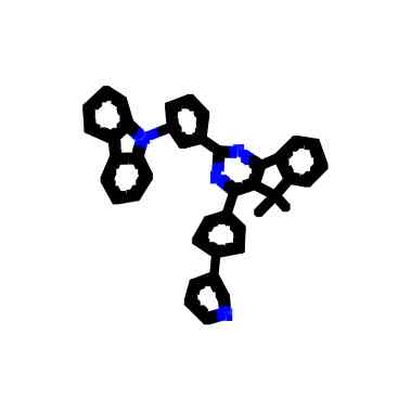 CC1(C)c2ccccc2-c2nc(-c3cccc(-n4c5ccccc5c5ccccc54)c3)nc(-c3ccc(-c4cccnc4)cc3)c21